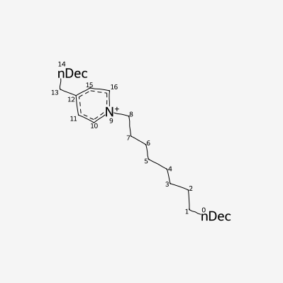 CCCCCCCCCCCCCCCCCC[n+]1ccc(CCCCCCCCCCC)cc1